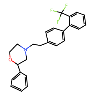 FC(F)(F)c1ccccc1-c1ccc(CCN2CCOC(c3ccccc3)C2)cc1